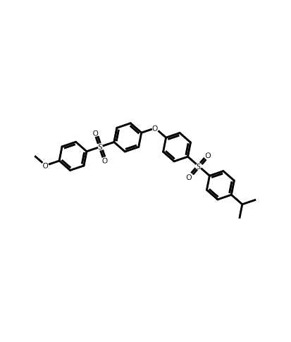 COc1ccc(S(=O)(=O)c2ccc(Oc3ccc(S(=O)(=O)c4ccc(C(C)C)cc4)cc3)cc2)cc1